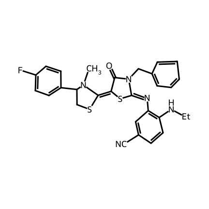 CCNc1ccc(C#N)cc1N=C1SC(=C2SCC(c3ccc(F)cc3)N2C)C(=O)N1Cc1ccccc1